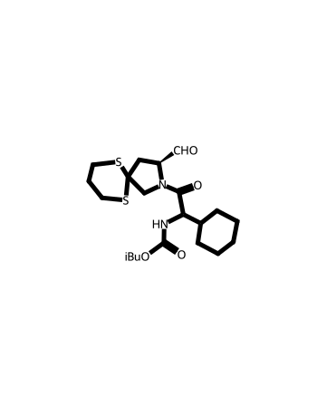 CC(C)COC(=O)NC(C(=O)N1CC2(C[C@H]1C=O)SCCCS2)C1CCCCC1